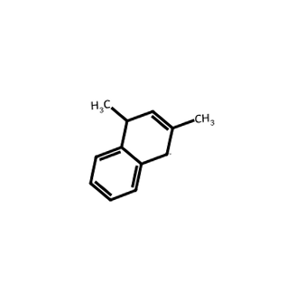 CC1=CC(C)c2ccccc2[CH]1